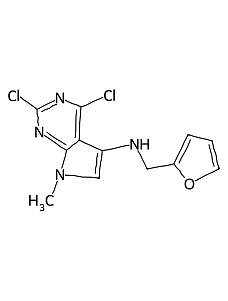 Cn1cc(NCc2ccco2)c2c(Cl)nc(Cl)nc21